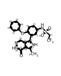 Cc1[nH]c(-c2cc(NS(=O)(=O)CC(F)(F)F)ccc2Oc2ccccc2)c2cn[nH]c(=O)c12